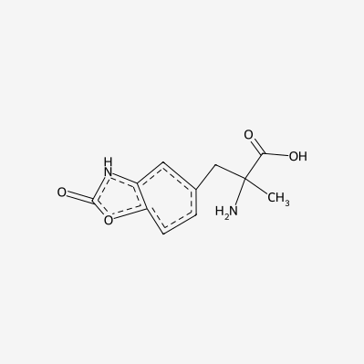 CC(N)(Cc1ccc2oc(=O)[nH]c2c1)C(=O)O